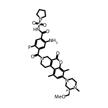 COC[C@H]1CN(c2cc(C)c3c4c(c(=O)oc3c2C)CN(C(=O)c2cc(N)c(C(=O)NS(=O)(=O)N3CCCC3)cc2F)CC4)CCN1C